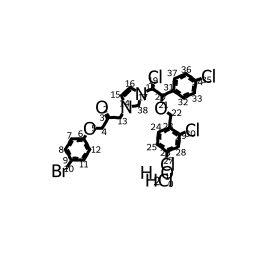 Cl.O.O=C(COc1ccc(Br)cc1)CN1C=CN(C(Cl)C(OCc2ccc(Cl)cc2Cl)c2ccc(Cl)cc2)C1